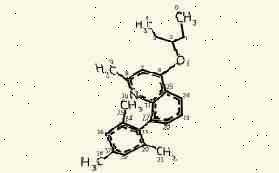 CCC(CC)Oc1cc(C)nc2c(-c3c(C)cc(C)cc3C)cccc12